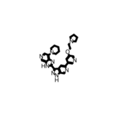 c1ncc(-c2cc3c(-c4nc5c(N6CCCCC6)cncc5[nH]4)n[nH]c3cn2)cc1OCCN1CCCC1